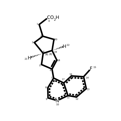 O=C(O)CC1C[C@@H]2CC(c3ccnc4ccc(F)cc34)=C[C@@H]2C1